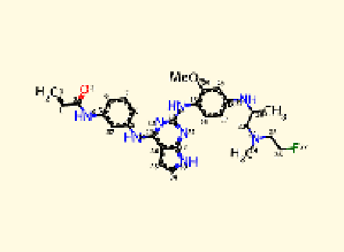 C=CC(=O)Nc1cccc(Nc2nc(Nc3ccc(NC(C)CN(C)CCF)cc3OC)nc3[nH]ccc23)c1